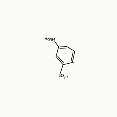 CC(=O)Nc1cc[c]c(S(=O)(=O)O)c1